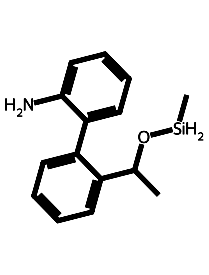 C[SiH2]OC(C)c1ccccc1-c1ccccc1N